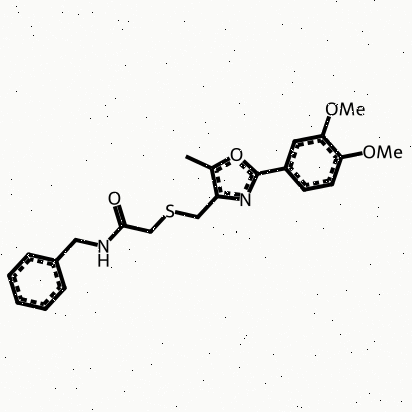 COc1ccc(-c2nc(CSCC(=O)NCc3ccccc3)c(C)o2)cc1OC